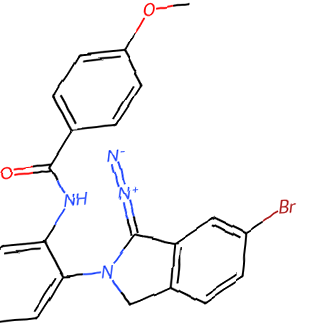 COc1ccc(C(=O)Nc2ccccc2N2Cc3ccc(Br)cc3C2=[N+]=[N-])cc1